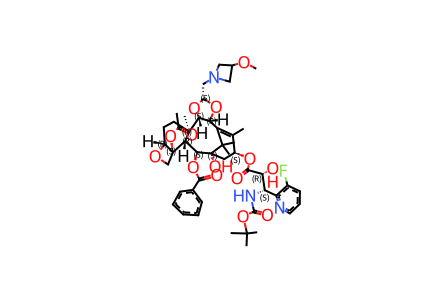 COC1CN(C[C@@H]2O[C@@H]3C4=C(C)[C@@H](OC(=O)[C@H](O)[C@@H](NC(=O)OC(C)(C)C)c5ncccc5F)C[C@@](O)([C@@H](OC(=O)c5ccccc5)[C@H]5[C@@](C)(CC[C@H]6OC[C@]65OC(C)=O)[C@@H]3O2)C4(C)C)C1